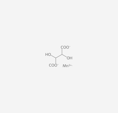 O=C([O-])C(O)C(O)C(=O)[O-].[Mn+2]